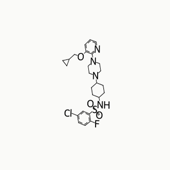 O=S(=O)(NC1CCC(N2CCN(c3ncccc3OCC3CC3)CC2)CC1)c1cc(Cl)ccc1F